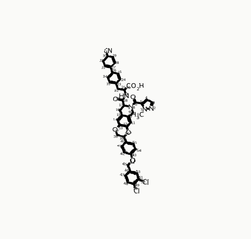 Cn1nccc1C(=O)N1Cc2cc3c(cc2CC1C(=O)NC(Cc1ccc(-c2ccc(C#N)cc2)cc1)C(=O)O)OCC(c1ccc(OCc2ccc(Cl)c(Cl)c2)cc1)O3